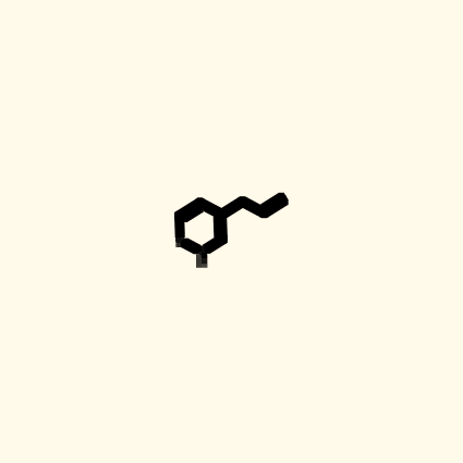 C=CCC1=CNSC=[C]1